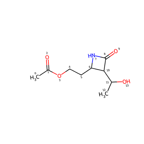 CC(=O)OCCC1NC(=O)C1C(C)O